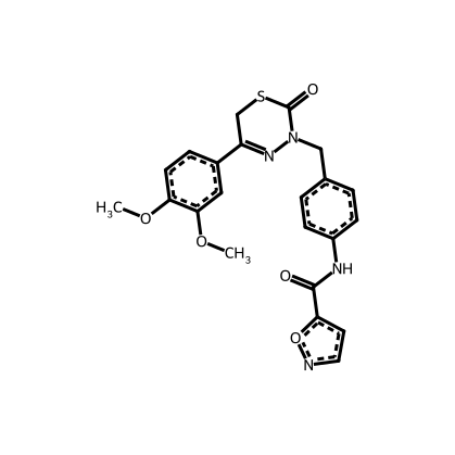 COc1ccc(C2=NN(Cc3ccc(NC(=O)c4ccno4)cc3)C(=O)SC2)cc1OC